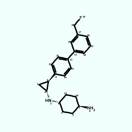 N[C@H]1CC[C@H](N[C@@H]2C[C@H]2c2ccc(-c3cccc(CF)c3)cc2)CC1